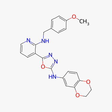 COc1ccc(CNc2ncccc2-c2nnc(Nc3ccc4c(c3)OCCO4)o2)cc1